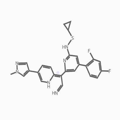 Cn1cc(C2=CN/C(=C(\C=N)c3cc(-c4ccc(F)cc4F)cc(NSC4CC4)n3)C=C2)cn1